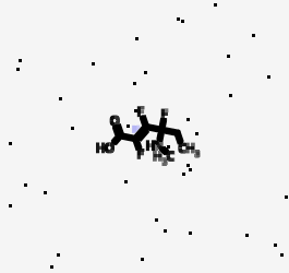 CCC(F)(NC)/C(F)=C(\F)C(=O)O